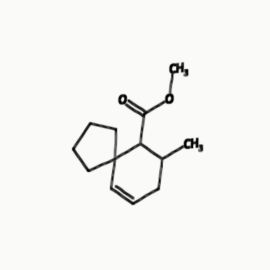 COC(=O)C1C(C)CC=CC12CCCC2